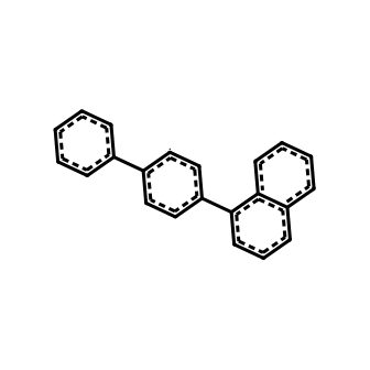 [c]1cc(-c2cccc3ccccc23)ccc1-c1ccccc1